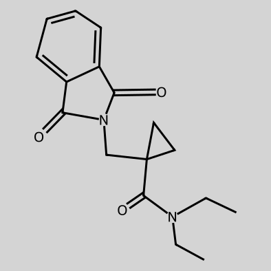 CCN(CC)C(=O)C1(CN2C(=O)c3ccccc3C2=O)CC1